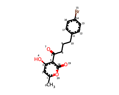 Cc1cc(O)c(C(=O)CCCc2ccc(Br)cc2)c(=O)o1